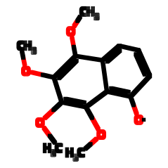 COc1c(OC)c(OC)c2c([O])cccc2c1OC